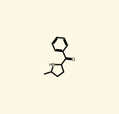 CC1CCC(C(=O)c2[c]cccc2)N1